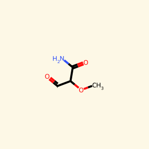 COC([C]=O)C(N)=O